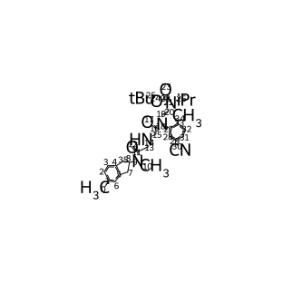 Cc1ccc2c(c1)CC(N(C)C(=O)CNCC(=O)N(CCN(C(=O)OC(C)(C)C)C(C)C)c1cc(C#N)ccc1C)C2